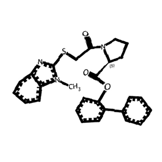 Cn1c(SCC(=O)N2CCC[C@H]2C(=O)Oc2ccccc2-c2ccccc2)nc2ccccc21